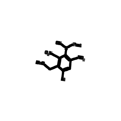 CCCC(C)N(N=O)c1c([N+](=O)[O-])cc(CC)c(COC)c1[N+](=O)[O-]